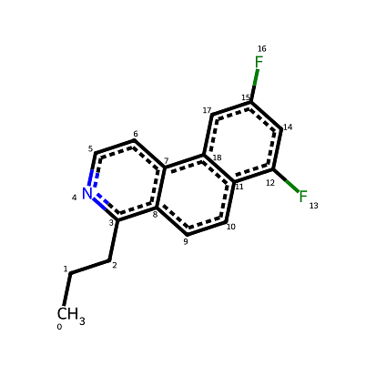 CCCc1nccc2c1ccc1c(F)cc(F)cc12